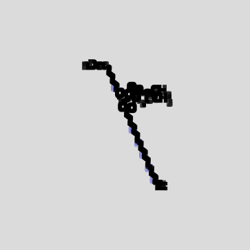 CC/C=C/C/C=C/C/C=C/C/C=C/C/C=C/CCCC(=O)O[C@H](CO/C=C/CCCCCCCCCCCCCC)COP(=O)([O-])OCC[N+](C)(C)C